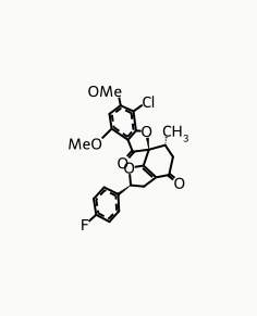 COc1cc(OC)c2c(c1Cl)O[C@]1(C2=O)C2=C(C[C@@H](c3ccc(F)cc3)O2)C(=O)C[C@H]1C